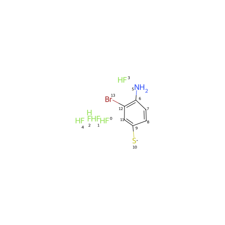 F.F.F.F.F.Nc1ccc([S])cc1Br